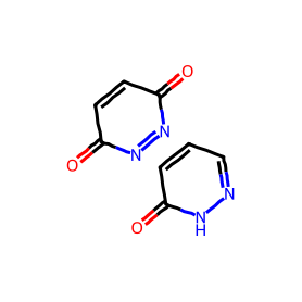 O=C1C=CC(=O)N=N1.O=c1cccn[nH]1